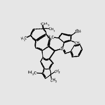 CC1=CC(C)(C)c2cc3c(cc21)-c1cc2c(cc1[CH]3[Zr](=[CH]c1ccccc1)[C]1=C(C)C(C(C)(C)C)=CC1C)C(C)(C)C=C2C